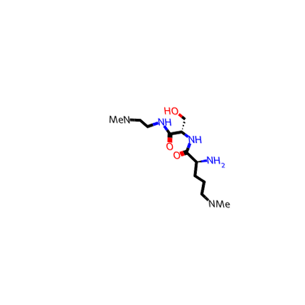 CNCCC[C@H](N)C(=O)N[C@@H](CO)C(=O)NCCNC